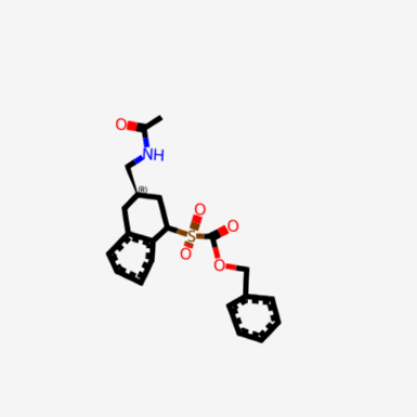 CC(=O)NC[C@@H]1Cc2ccccc2C(S(=O)(=O)C(=O)OCc2ccccc2)C1